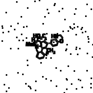 CSN1Cc2cccc(F)c2-c2c(C)c(-c3ccc4c(c3)NCCO4)c(CC(=O)O)c(C)c21